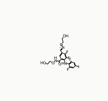 O=C(NOCCO)c1cc(/C=N/OCCO)c(F)c(F)c1Nc1c(F)cc(I)cc1F